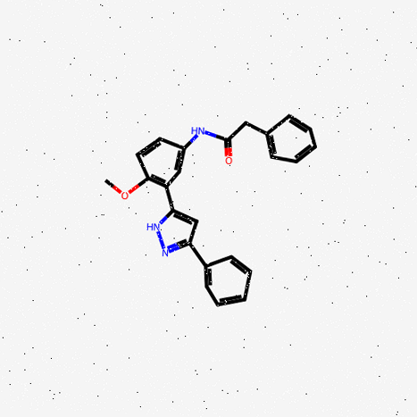 COc1ccc(NC(=O)Cc2ccccc2)cc1-c1cc(-c2ccccc2)n[nH]1